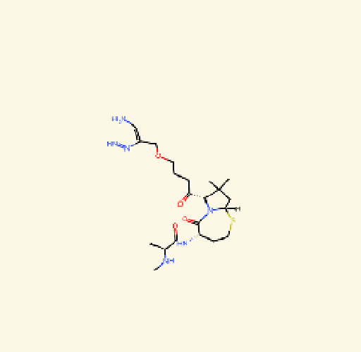 CN[C@@H](C)C(=O)N[C@H]1CCS[C@H]2CC(C)(C)[C@@H](C(=O)CCCOC/C(=C/N)N=N)N2C1=O